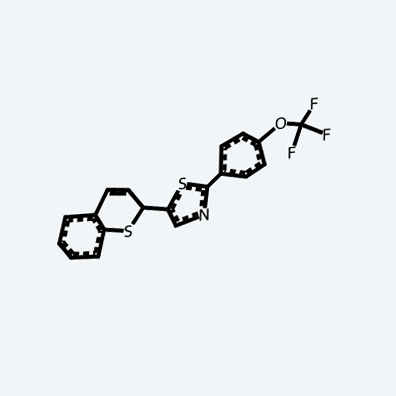 FC(F)(F)Oc1ccc(-c2ncc(C3C=Cc4ccccc4S3)s2)cc1